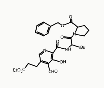 CCOC(=O)CCc1cnc(C(=O)NC(C(=O)N2CCCC2C(=O)OCc2ccccc2)C(C)CC)c(O)c1C=O